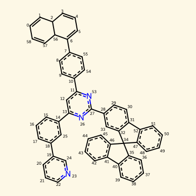 C1=CC2C=CC=C(c3ccc(-c4cc(-c5cccc(-c6cccnc6)c5)nc(-c5ccc6c(c5)C5(c7ccccc7-c7ccccc75)c5ccccc5-6)n4)cc3)C2C=C1